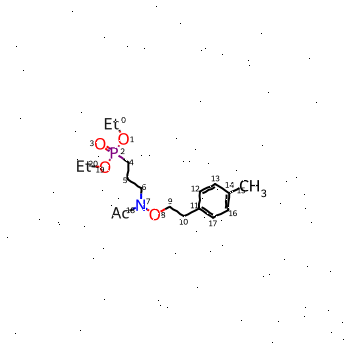 CCOP(=O)(CCCN(OCCc1ccc(C)cc1)C(C)=O)OCC